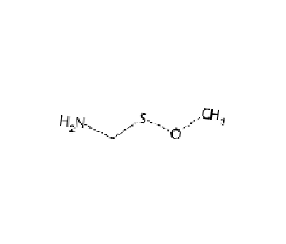 COSCN